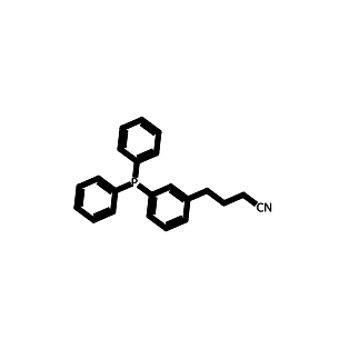 N#CCCCc1cccc(P(c2ccccc2)c2ccccc2)c1